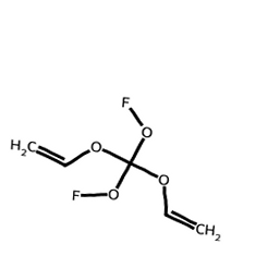 C=COC(OF)(OF)OC=C